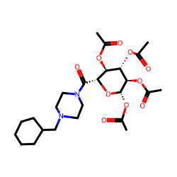 CC(=O)O[C@@H]1O[C@H](C(=O)N2CCN(CC3CCCCC3)CC2)[C@@H](OC(C)=O)[C@H](OC(C)=O)[C@H]1OC(C)=O